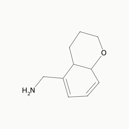 NCC1=CC=CC2OCCCC12